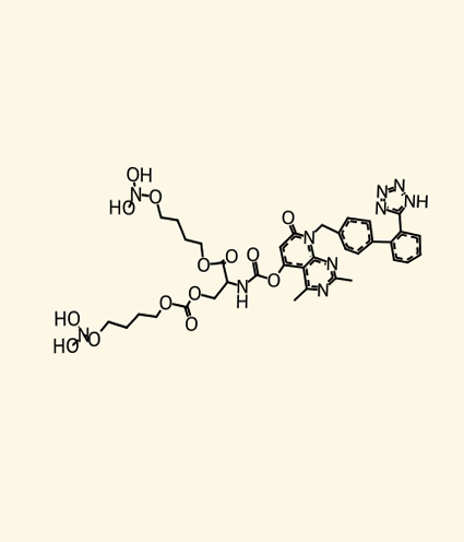 Cc1nc(C)c2c(OC(=O)NC(COC(=O)OCCCCON(O)O)C(=O)OCCCCON(O)O)cc(=O)n(Cc3ccc(-c4ccccc4-c4nnn[nH]4)cc3)c2n1